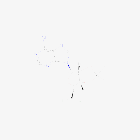 CC1(C)O[C@@H]2[C@H](O1)[C@@H](C(F)F)O[C@H]2n1cnc2c(N)ncnc21